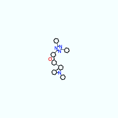 c1ccc(-c2nc(-c3ccccc3)nc(-c3ccc4oc5ccc(-c6cccc7c6c6ccccc6n7-c6ccccc6)cc5c4c3)n2)cc1